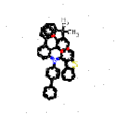 CC1(C)c2ccccc2-c2c(-c3c(-c4ccccc4)cccc3N(c3ccc(-c4ccccc4)cc3)c3cccc4sc5ccccc5c34)cccc21